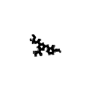 C=C(N[C@H](C)CC)c1cc(Cc2cccc(N)c2C)nc(C(=O)NC)c1